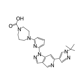 CC(C)(C)n1cc(-c2cc3c(cn2)cnn3-c2cccc(N3CCCN(C(=O)O)CC3)n2)cn1